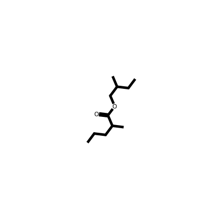 CCCC(C)C(=O)OCC(C)CC